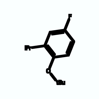 CC(C)c1cc(F)ccc1OC(C)(C)C